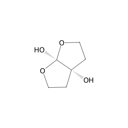 O[C@]12CCO[C@@]1(O)OCC2